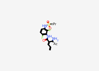 C=C/C=C(/C(=O)Nc1c(F)ccc(NS(=O)(=O)CCC)c1F)C(N)C(C)=O